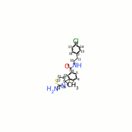 CC1(c2cccc(C(=O)NCCc3ccc(Cl)cc3)c2)CCSC(N)=N1